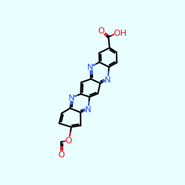 O=COc1ccc2nc3cc4nc5cc(C(=O)O)ccc5nc4cc3nc2c1